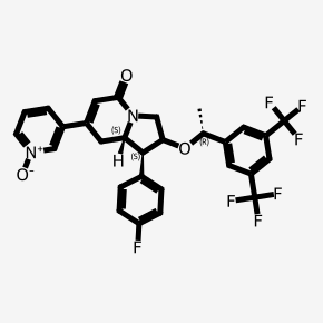 C[C@@H](OC1CN2C(=O)C=C(c3ccc[n+]([O-])c3)C[C@H]2[C@@H]1c1ccc(F)cc1)c1cc(C(F)(F)F)cc(C(F)(F)F)c1